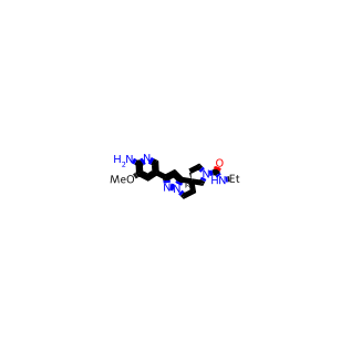 CCNC(=O)N1CC[C@@]2(CCn3nc(-c4cnc(N)c(OC)c4)cc32)C1